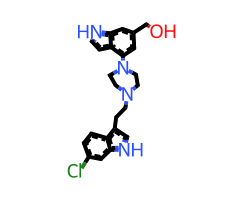 OCc1cc(N2CCN(CCc3c[nH]c4cc(Cl)ccc34)CC2)c2cc[nH]c2c1